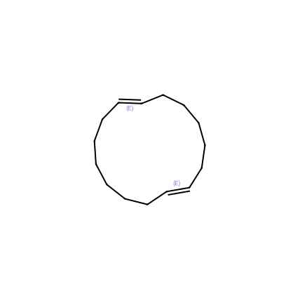 C1=C/CCCCCC/C=C/CCCCC/1